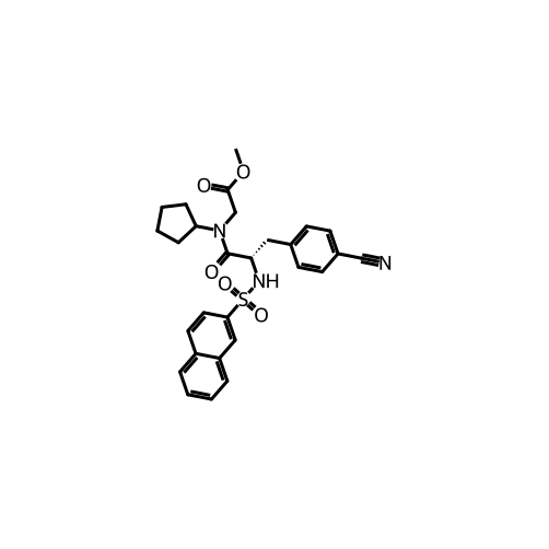 COC(=O)CN(C(=O)[C@H](Cc1ccc(C#N)cc1)NS(=O)(=O)c1ccc2ccccc2c1)C1CCCC1